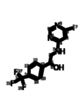 OC(CNc1cc(I)ncn1)c1ccc(C(F)(F)F)cc1